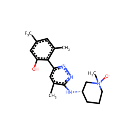 Cc1cc(-c2c(C)cc(C(F)(F)F)cc2O)nnc1N[C@H]1CCC[N+](C)([O-])C1